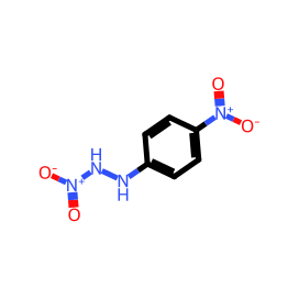 O=[N+]([O-])NNc1ccc([N+](=O)[O-])cc1